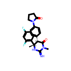 CN1C(=N)N[C@](C)(c2ccc(F)cc2F)[C@H](c2ccc(N3CCCC3=O)cc2)C1=O